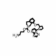 NCCCOC(=O)N1CCc2cccc(OCC3CCCN3c3ccnc4ncnn34)c2C1